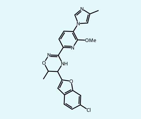 COc1nc(C2=NOC(C)C(c3cc4ccc(Cl)cc4o3)N2)ccc1-n1cnc(C)c1